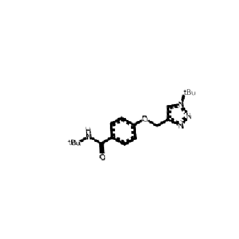 CC(C)(C)NC(=O)c1ccc(OCc2cn(C(C)(C)C)nn2)cc1